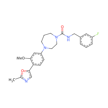 COc1cc(N2CCCN(C(=O)NCc3cccc(F)c3)CC2)ccc1-c1cnc(C)o1